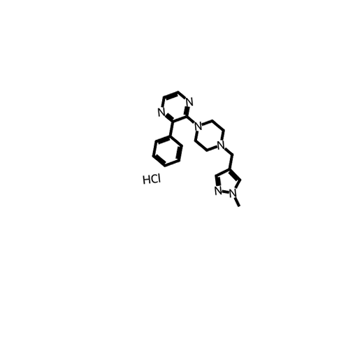 Cl.Cn1cc(CN2CCN(c3nccnc3-c3ccccc3)CC2)cn1